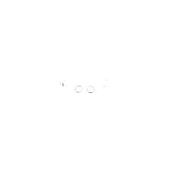 CC(CN[S+]([O-])C(C)C)c1ccc(-c2ccc(CCNS(C)(=O)=O)cc2)cc1